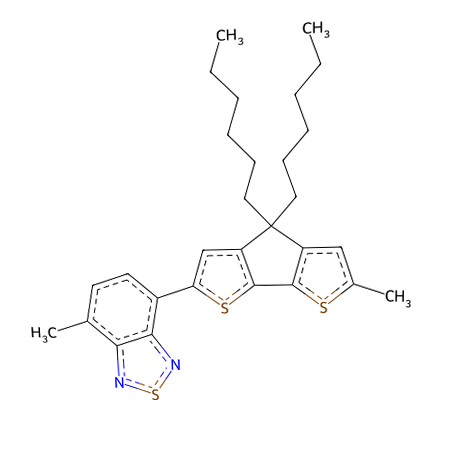 CCCCCCC1(CCCCCC)c2cc(C)sc2-c2sc(-c3ccc(C)c4nsnc34)cc21